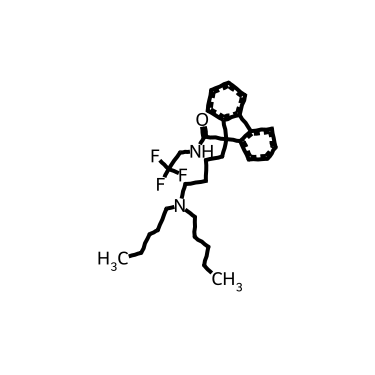 CCCCCN(CCCCC)CCCCC1(C(=O)NCC(F)(F)F)c2ccccc2-c2ccccc21